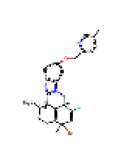 Cc1ccc(COc2ccc3nc4n(c3c2)CC2(C)C(F)=CC(C)(Br)C3=C2[C@H]4[C@H](C(=O)O)CC3)nc1